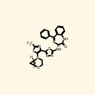 O=C1Nc2ccccc2C(c2ccccc2)=N[C@H]1Nc1nnc(-c2nc(C(F)(F)F)sc2N2CCO[C@@H]3C[C@@H]32)o1